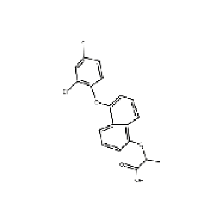 CC(Oc1cccc2c(Oc3ccc(Cl)cc3Cl)cccc12)C(=O)O